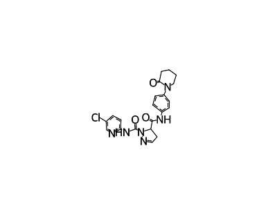 O=C(Nc1ccc(N2CCCCC2=O)cc1)C1CC=NN1C(=O)Nc1ccc(Cl)cn1